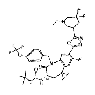 CCN1CC(c2nnc(-c3cc4c(cc3F)C(F)(F)C[C@H](NC(=O)OC(C)(C)C)C(=O)N4Cc3ccc(OC(F)(F)F)cc3)o2)CC(F)(F)C1